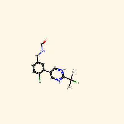 CC(C)(F)c1ncc(-c2cc(CNC=O)ccc2F)cn1